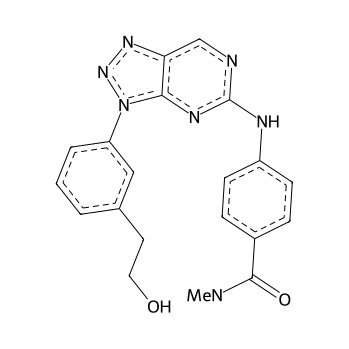 CNC(=O)c1ccc(Nc2ncc3nnn(-c4cccc(CCO)c4)c3n2)cc1